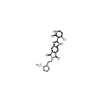 C[C@H]1CCCN1CCN1C(=O)c2cc3nc(-c4c(Cl)cc[nH]c4=O)[nH]c3cc2C1=O